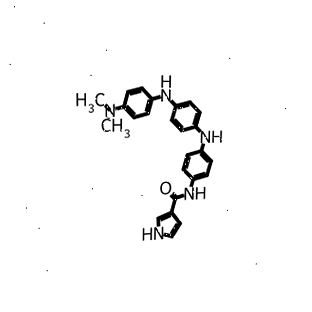 CN(C)c1ccc(Nc2ccc(Nc3ccc(NC(=O)c4cc[nH]c4)cc3)cc2)cc1